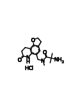 CN(Cc1cc2c(c3c1NC(=O)CC3)OCC2)C(=O)C(C)(C)N.Cl